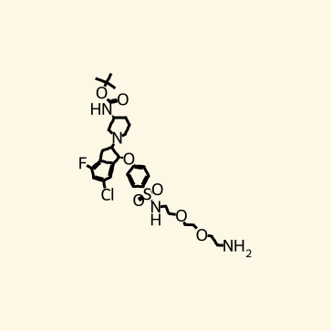 CC(C)(C)OC(=O)N[C@@H]1CCCN(C2Cc3c(F)cc(Cl)cc3[C@@H]2Oc2ccc(S(=O)(=O)NCCOCCOCCN)cc2)C1